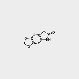 O=C1Cc2cc3c(cc2N1)OCO3